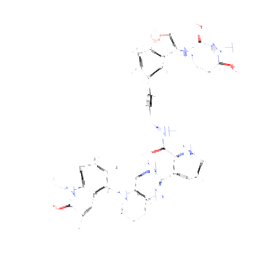 Cc1cc2c(N3CCCc4nc(-c5cccnc5C(=O)NCC#Cc5ccc6occ(N7CCC(=O)NC7=O)c6c5)ncc43)cccc2n(C)c1=O